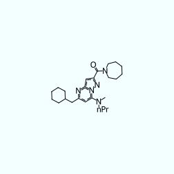 CCCN(C)c1cc(CC2CCCCC2)nc2cc(C(=O)N3CCCCCC3)nn12